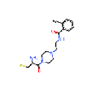 CC(=O)c1ccccc1C(=O)NCCN1CCN(C(=O)C(N)CS)CC1